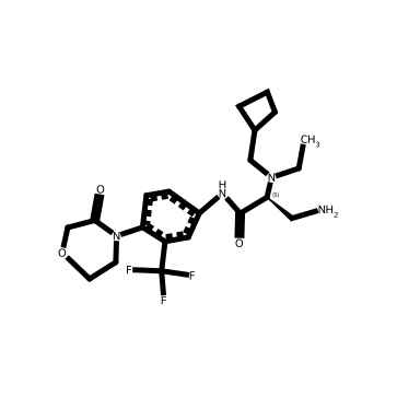 CCN(CC1CCC1)[C@@H](CN)C(=O)Nc1ccc(N2CCOCC2=O)c(C(F)(F)F)c1